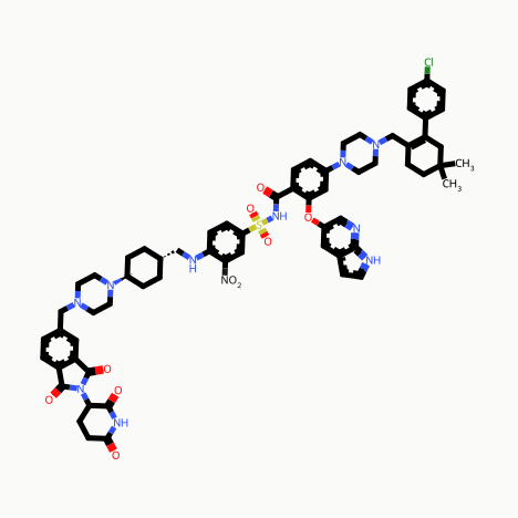 CC1(C)CCC(CN2CCN(c3ccc(C(=O)NS(=O)(=O)c4ccc(NC[C@H]5CC[C@H](N6CCN(Cc7ccc8c(c7)C(=O)N(C7CCC(=O)NC7=O)C8=O)CC6)CC5)c([N+](=O)[O-])c4)c(Oc4cnc5[nH]ccc5c4)c3)CC2)=C(c2ccc(Cl)cc2)C1